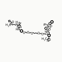 Cc1ncsc1-c1ccc(CNC(=O)[C@@H]2CCCN2C(=O)C(C(C)C)N2Cc3ccccc3C2=O)c(OCCOCCOCCCCOCCOCCOc2ccc(Nc3ncc(Br)c(NCCCN(C)C(=O)C4CCC4)n3)cc2)c1